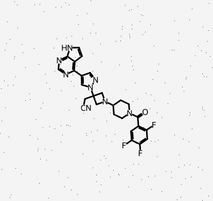 N#CCC1(n2cc(-c3ncnc4[nH]ccc34)cn2)CN(C2CCN(C(=O)c3cc(F)c(F)cc3F)CC2)C1